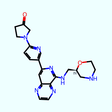 O=C1CCN(c2ccc(-c3cc4nccnc4c(NC[C@@H]4CNCCO4)n3)cn2)C1